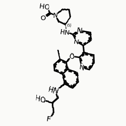 Cc1ccc2c(NCC(O)CF)cccc2c1Oc1ncccc1-c1ccnc(N[C@H]2CCCN(C(=O)O)C2)n1